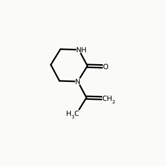 C=C(C)N1CCCNC1=O